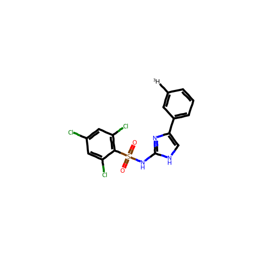 [3H]c1cccc(-c2c[nH]c(NS(=O)(=O)c3c(Cl)cc(Cl)cc3Cl)n2)c1